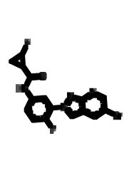 O=C(Nc1ccc(F)c(-n2cc3cc(Br)cnc3n2)c1)C1CC1F